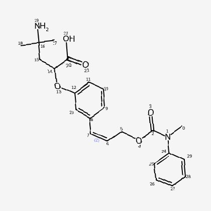 CN(C(=O)OC/C=C\c1cccc(OC(CC(C)(C)N)C(=O)O)c1)c1ccccc1